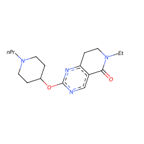 CCCN1CCC(Oc2ncc3c(n2)CCN(CC)C3=O)CC1